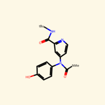 CNC(=O)N(c1ccc(O)cc1)c1ccnc(C(=O)NC(C)(C)C)c1